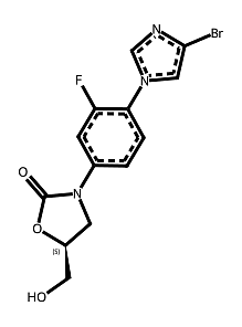 O=C1O[C@H](CO)CN1c1ccc(-n2cnc(Br)c2)c(F)c1